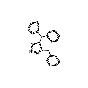 c1ccc(Cn2nnnc2P(c2ccccc2)c2ccccc2)cc1